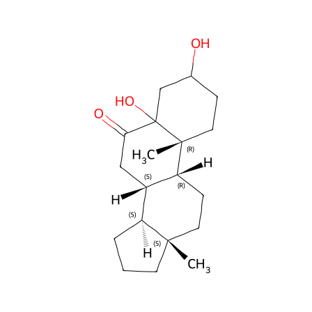 C[C@@]12CCC[C@H]1[C@@H]1CC(=O)C3(O)CC(O)CC[C@]3(C)[C@@H]1CC2